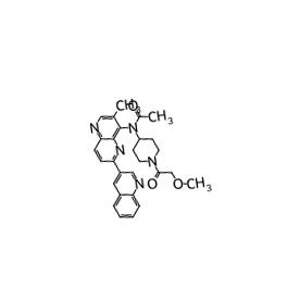 COCC(=O)N1CCC(N(C(C)=O)c2c(C)cnc3ccc(-c4cnc5ccccc5c4)nc23)CC1